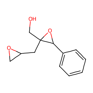 OCC1(CC2CO2)OC1c1ccccc1